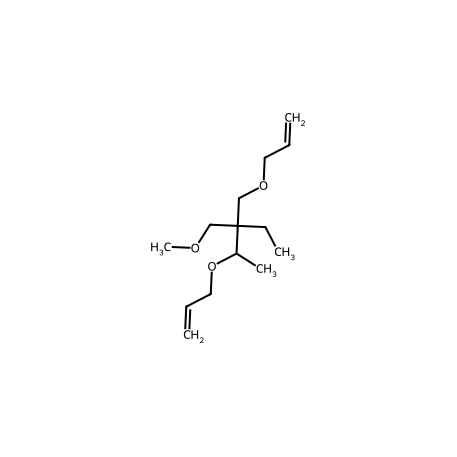 C=CCOCC(CC)(COC)C(C)OCC=C